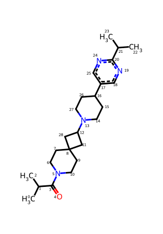 CC(C)C(=O)N1CCC2(CC1)CC(N1CCC(c3cnc(C(C)C)nc3)CC1)C2